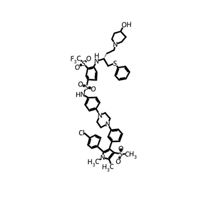 Cc1c(S(C)(=O)=O)c(-c2cccc(N3CCN(c4ccc(NS(=O)(=O)c5ccc(N[C@H](CCN6CCC(O)CC6)CSc6ccccc6)c(S(=O)(=O)C(F)(F)F)c5)cc4)CC3)c2)c(-c2ccc(Cl)cc2)n1C